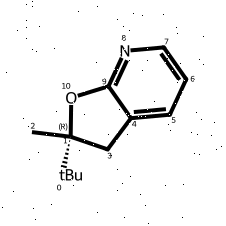 CC(C)(C)[C@@]1(C)Cc2cccnc2O1